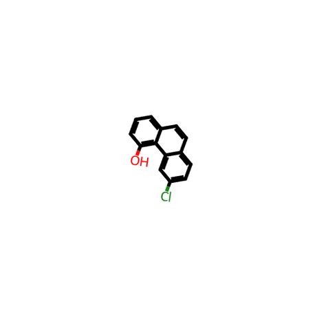 Oc1cccc2ccc3ccc(Cl)cc3c12